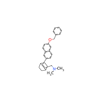 CN(C)CC1=C(c2ccc3cc(OCc4ccccc4)ccc3c2)C2CCC1CC2